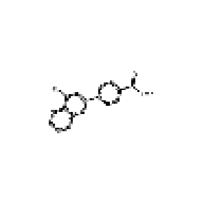 COC(=O)c1ccc(-c2cc(O)c3ncccc3c2)cc1